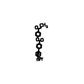 C=CC(=O)c1ccc(OC(=O)c2ccc(C34CCC(CCC)(CC3)CC4)cc2)cc1